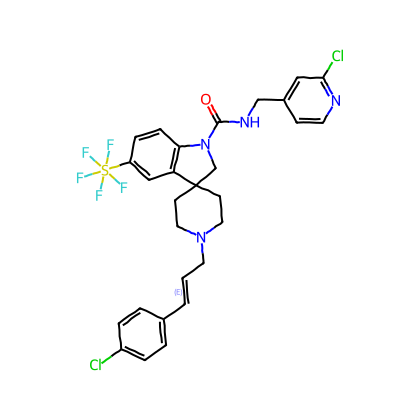 O=C(NCc1ccnc(Cl)c1)N1CC2(CCN(C/C=C/c3ccc(Cl)cc3)CC2)c2cc(S(F)(F)(F)(F)F)ccc21